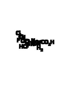 Cl.N[C@@H](CC(=O)O)Cc1nc(-c2ccc(Oc3ncc(Cl)cc3F)cc2F)no1